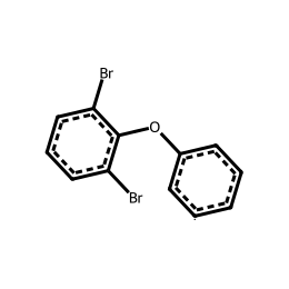 Brc1cccc(Br)c1Oc1c[c]ccc1